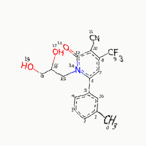 Cc1cccc(-c2cc(C(F)(F)F)c(C#N)c(=O)n2CC(O)CO)c1